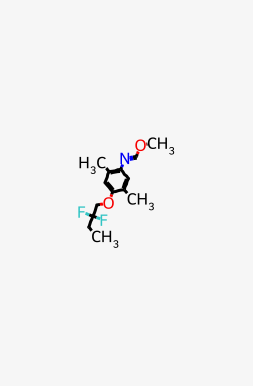 CCC(F)(F)COc1cc(C)c(N=COC)cc1C